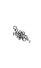 CC(C)C[C@H](NC(=O)c1cc2ccccc2s1)C(=O)N[C@@H]1C(=O)CO[C@@H]1C